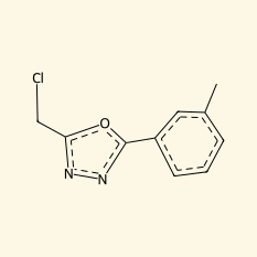 Cc1cccc(-c2nnc(CCl)o2)c1